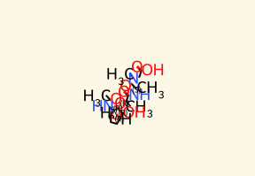 CC(=O)N[C@@H]1[C@@H](O[C@H](C)C(=O)N[C@@H](C)C(=O)N(C)CC(=O)O)[C@H](O)[C@H]2CC[C@@H]1O2